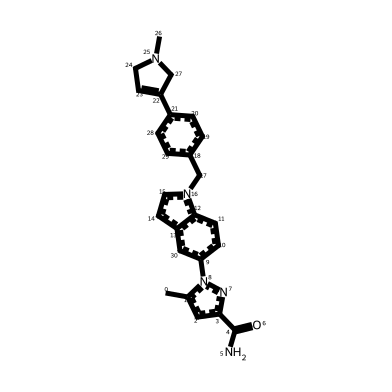 Cc1cc(C(N)=O)nn1-c1ccc2c(ccn2Cc2ccc(C3=CCN(C)C3)cc2)c1